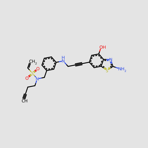 C#CCCN(Cc1cccc(NCC#Cc2cc(O)c3nc(N)sc3c2)c1)S(=O)(=O)C=C